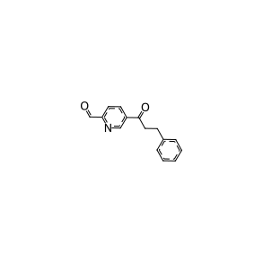 O=Cc1ccc(C(=O)CCc2ccccc2)cn1